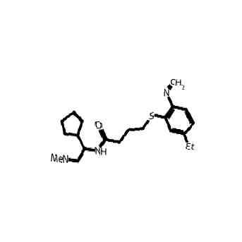 C=Nc1ccc(CC)cc1SCCCC(=O)NC(CNC)C1CCCC1